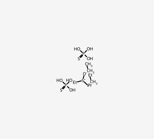 CC.CCC.CC[S+]([O-])C(C)C.OP(O)(O)=S.OP(O)(O)=S